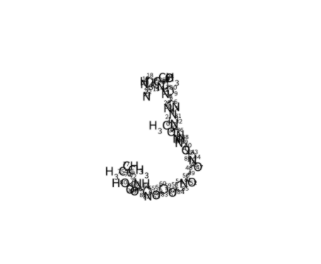 C[C@@H]1CN(c2ncc(-c3ccc4c(n3)N(Cc3cccnc3C#N)C(C)(C)C4=O)cn2)CCN1C(=O)Cn1cc(COC2CCN(C(=O)CCCC(=O)N3CCC(Oc4cccc(Oc5ccc(C(=O)N[C@@H](CCC(C)(C)C)C(=O)O)cn5)c4)CC3)C2)nn1